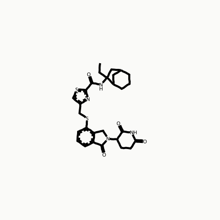 CCC1(NC(=O)c2nc(CSc3cccc4c3CN(C3CCC(=O)NC3=O)C4=O)cs2)CC2CCCC1C2